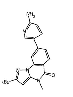 Cn1c(=O)c2ccc(-c3ccc(N)nc3)cc2n2nc(C(C)(C)C)cc12